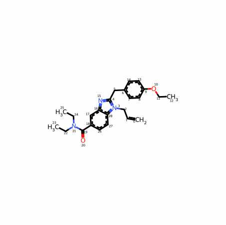 C=CCn1c(Cc2ccc(OCC)cc2)nc2cc(C(=O)N(CC)CC)ccc21